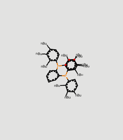 CCCCc1ccc(P(c2ccccc2P(c2ccc(CCCC)c(CCCC)c2CCCC)c2ccc(CCCC)c(CCCC)c2CCCC)c2ccc(CCCC)c(CCCC)c2CCCC)c(CCCC)c1CCCC